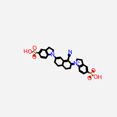 N#CC1=C2C=C(N3CCc4cc(S(=O)(=O)O)ccc43)CCC2CC/C1=[N+]1/CCc2cc(S(=O)(=O)O)ccc21